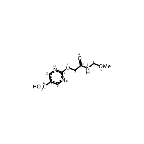 COCNC(=O)COc1ncc(C(=O)O)cn1